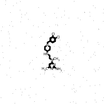 Cc1cc(N(C)CCNC2CCN(Cc3ccc(Cl)c(Cl)c3)CC2)nc(N)n1